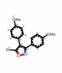 CCc1onc(-c2ccc(OC)cc2)c1-c1ccc(OC)cc1